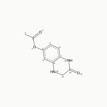 CC(=O)Oc1ccc2c(c1)NCC(=O)N2